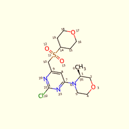 C[C@H]1COCCN1c1cc(CS(=O)(=O)C2CCOCC2)nc(Cl)n1